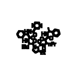 CCCC(NC(=O)[C@@H]1[C@@H](CC)CCN1C(=O)[C@@H](NC(=O)[C@@H](NC(=O)c1cnccn1)C1CCCCC1)C(C)CC)C(=O)C(=O)N[C@@H](C)c1ccccc1